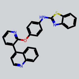 c1cnc(Oc2ccc(Nc3nc4ccccc4s3)cc2)c(-c2ccnc3ccccc23)c1